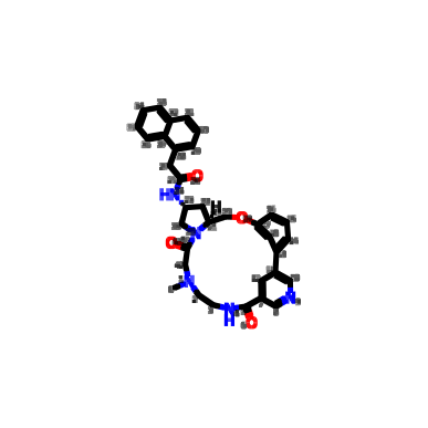 CN1CCNC(=O)c2cncc(c2)-c2cccc(c2)OC[C@@H]2C[C@@H](NC(=O)Cc3cccc4ccccc34)CN2C(=O)C1